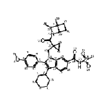 COc1ccc(-c2c(C3CCCCC3)c3ccc(C(=O)NS(C)(=O)=O)cc3n2CC2(C(=O)N3C(C)C4(C)CCC34)CC2)cc1